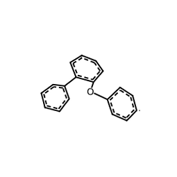 [c]1ccc(Oc2ccccc2-c2ccccc2)cc1